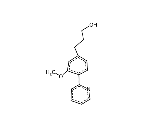 COc1cc(CCCO)ccc1-c1ccccn1